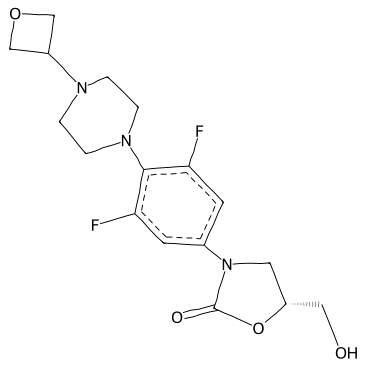 O=C1O[C@@H](CO)CN1c1cc(F)c(N2CCN(C3COC3)CC2)c(F)c1